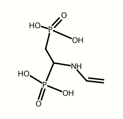 C=CNC(CP(=O)(O)O)P(=O)(O)O